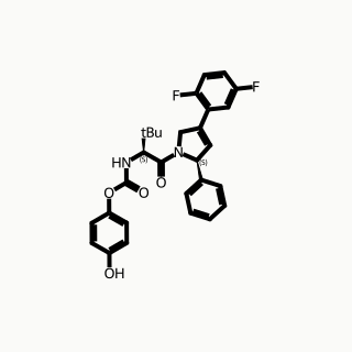 CC(C)(C)[C@H](NC(=O)Oc1ccc(O)cc1)C(=O)N1CC(c2cc(F)ccc2F)=C[C@H]1c1ccccc1